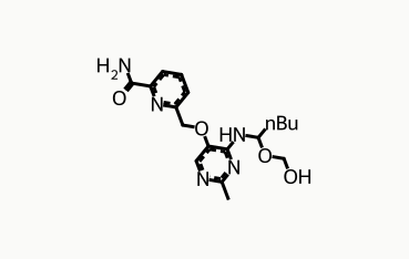 CCCCC(Nc1nc(C)ncc1OCc1cccc(C(N)=O)n1)OCO